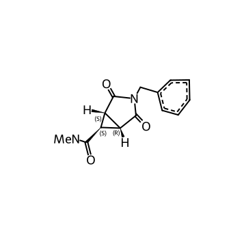 CNC(=O)[C@@H]1[C@H]2C(=O)N(Cc3ccccc3)C(=O)[C@@H]12